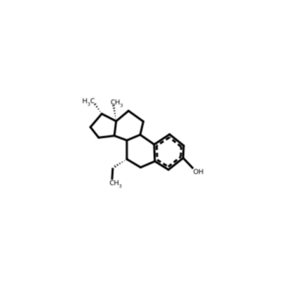 CC[C@H]1Cc2cc(O)ccc2C2CC[C@@]3(C)C(CC[C@@H]3C)C21